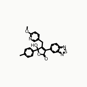 COc1ccc(CC2=C(c3ccc4nsnc4c3)C(=O)OC2(O)c2ccc(C)cc2)cn1